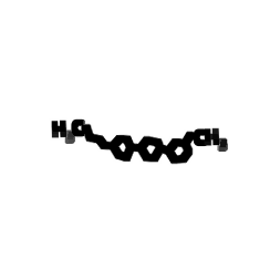 CCCCCC1CCC(C2CCC(C3CCCC(CC)C3)CC2)CC1